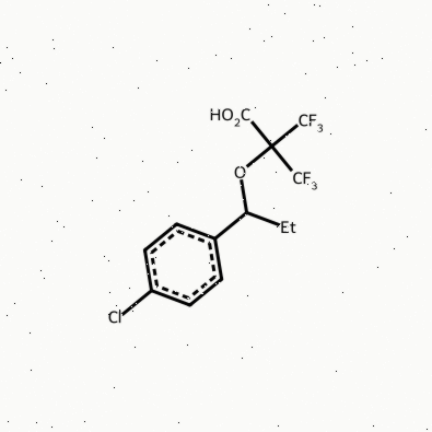 CCC(OC(C(=O)O)(C(F)(F)F)C(F)(F)F)c1ccc(Cl)cc1